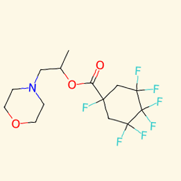 CC(CN1CCOCC1)OC(=O)C1(F)CC(F)(F)C(F)(F)C(F)(F)C1